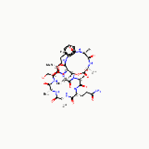 CCC(C)[C@@H]1NC(=O)[C@H](C)NC(=O)[C@H](NC(=O)[C@H](CO)NC(=O)[C@@H](NC(=O)[C@H](NC(=O)[C@@H](CCC(N)=O)NC(=O)[C@H](CO)NC(=O)[C@@H](NC(=O)[C@@H](CCc2ccccc2)NC)[C@@H](C)CC)[C@H](C)CC)[C@@H](C)CC)[C@H](C)OC(=O)[C@H]([C@@H](C)CC)NC1=O